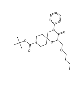 CCCCOCC1OC2(CCN(C(=O)OC(C)(C)C)CC2)CN(c2ccccc2)C1=O